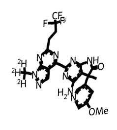 [2H]C([2H])([2H])n1ncc2c(-c3nc(N)c4c(n3)NC(=O)C4(C)c3cncc(OC)c3)nc(CCC(F)(F)C(F)(F)F)nc21